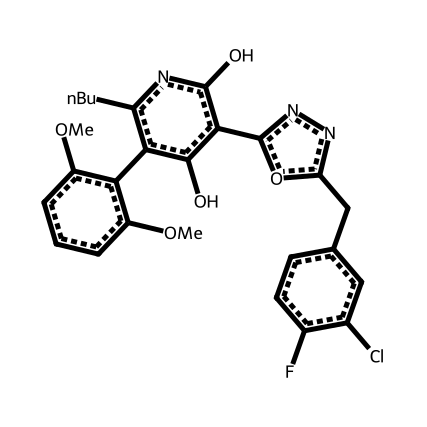 CCCCc1nc(O)c(-c2nnc(Cc3ccc(F)c(Cl)c3)o2)c(O)c1-c1c(OC)cccc1OC